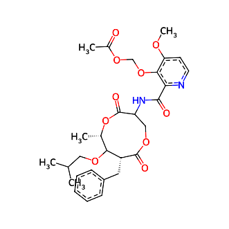 COc1ccnc(C(=O)NC2COC(=O)[C@H](Cc3ccccc3)C(OCC(C)C)[C@H](C)OC2=O)c1OCOC(C)=O